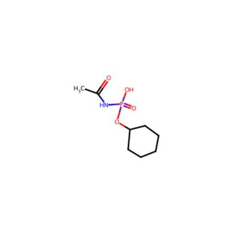 CC(=O)NP(=O)(O)OC1CCCCC1